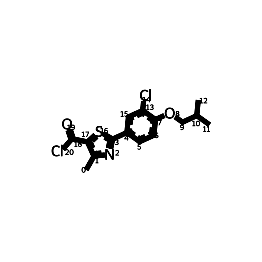 Cc1nc(-c2ccc(OCC(C)C)c(Cl)c2)sc1C(=O)Cl